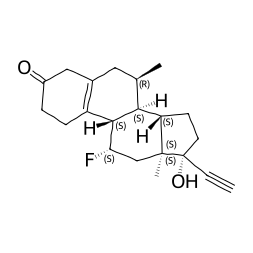 C#C[C@]1(O)CC[C@H]2[C@H]3[C@@H](C4=C(CC(=O)CC4)C[C@H]3C)[C@@H](F)C[C@@]21C